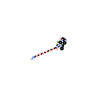 [N-]=[N+]=NCCOCCOCCOCCOCCOCCOCCC(=O)N1CCN(c2ccc(-n3c(=O)ccc4cnc5ccc(-c6cnc7ccccc7c6)cc5c43)cc2C(F)(F)F)CC1